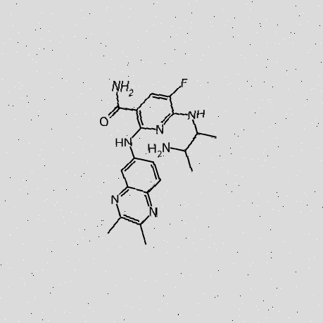 Cc1nc2ccc(Nc3nc(NC(C)C(C)N)c(F)cc3C(N)=O)cc2nc1C